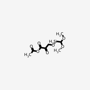 COC(OC)[SiH2]OCC(=O)C(=O)OC(C)=O